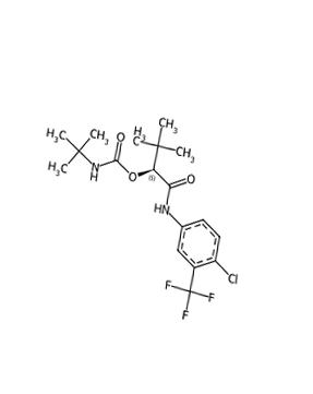 CC(C)(C)NC(=O)O[C@H](C(=O)Nc1ccc(Cl)c(C(F)(F)F)c1)C(C)(C)C